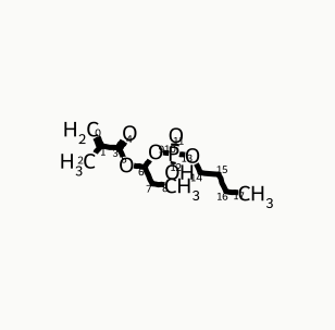 C=C(C)C(=O)OC(CC)OP(=O)(O)OCCCC